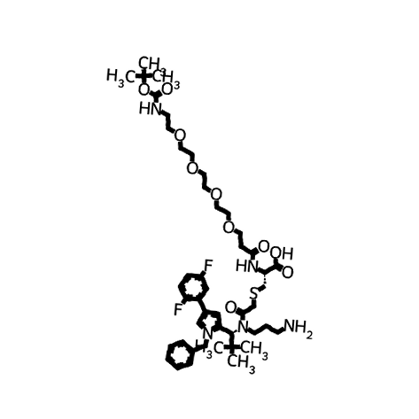 CC(C)(C)OC(=O)NCCOCCOCCOCCOCCC(=O)N[C@@H](CSCC(=O)N(CCCN)[C@@H](c1cc(-c2cc(F)ccc2F)cn1Cc1ccccc1)C(C)(C)C)C(=O)O